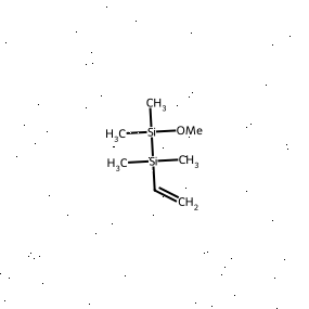 C=C[Si](C)(C)[Si](C)(C)OC